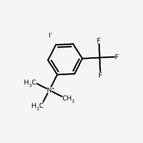 C[N+](C)(C)c1cccc(C(F)(F)F)c1.[I-]